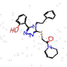 O=C(CSc1nnc(-c2ccccc2O)n1CCc1ccccc1)N1CCCCC1